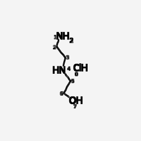 Cl.NCCNCCO